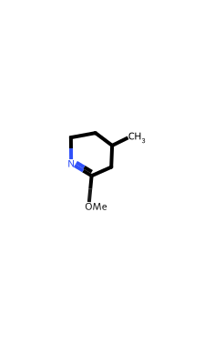 COC1=NCCC(C)C1